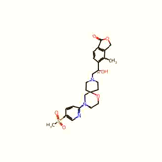 Cc1c([C@@H](O)CN2CCC3(CC2)CN(c2ccc(S(C)(=O)=O)cn2)CCO3)ccc2c1COC2=O